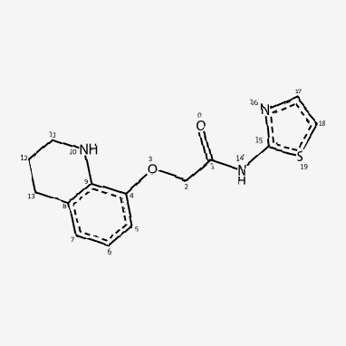 O=C(COc1cccc2c1NCCC2)Nc1nccs1